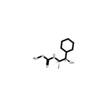 C[C@H](NC(=O)OC(C)(C)C)[C@H](O)C1CCCCC1